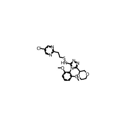 COc1cccc(OC)c1-n1c(NSCCc2ncc(Cl)cn2)nnc1C1COCCO1